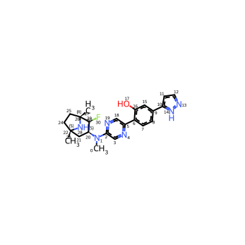 CN(c1cnc(-c2ccc(-c3ccn[nH]3)cc2O)cn1)[C@H]1C[C@]2(C)CC[C@@](C)(N2)[C@H]1F